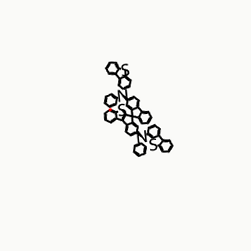 c1ccc(N(c2ccc3c(c2)C2(c4ccccc4-3)c3cc(N(c4ccccc4)c4cccc5c4sc4ccccc45)ccc3-c3c2sc2ccccc32)c2ccc3sc4ccccc4c3c2)cc1